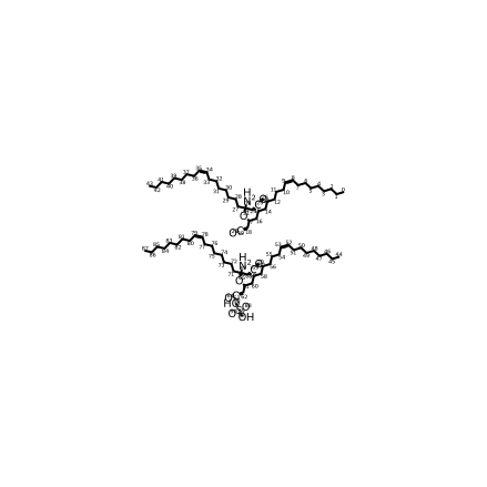 CCCCCCCC/C=C\CCCCCCCC(C=C=O)OC(N)(C=C=O)CCCCCCC/C=C\CCCCCCCC.CCCCCCCC/C=C\CCCCCCCC(C=C=O)OC(N)(C=C=O)CCCCCCC/C=C\CCCCCCCC.O=S(=O)(O)O